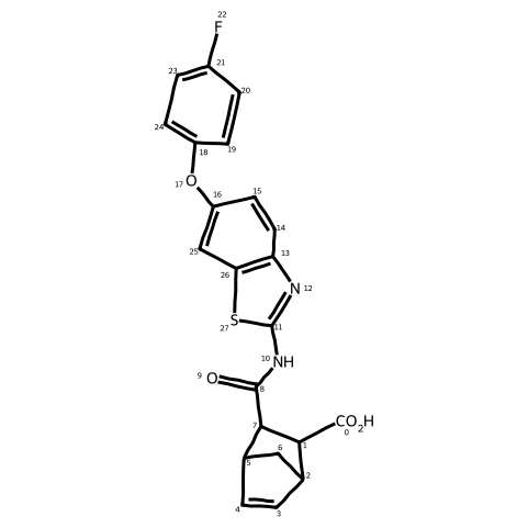 O=C(O)C1C2C=CC(C2)C1C(=O)Nc1nc2ccc(Oc3ccc(F)cc3)cc2s1